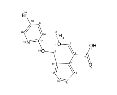 CO/C=C(/C(=O)O)c1ccccc1COc1ccc(Br)cn1